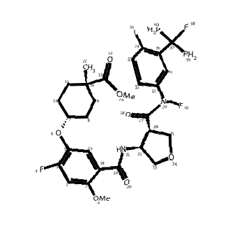 COc1cc(F)c(O[C@H]2CC[C@@](C)(C(=O)OC)CC2)cc1C(=O)N[C@@H]1COC[C@@H]1C(=O)N(F)c1ccc(I)c(C(F)(P)P)c1